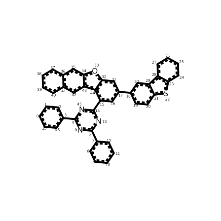 c1ccc(-c2nc(-c3ccccc3)nc(-c3cc(-c4ccc5sc6ccccc6c5c4)cc4oc5cc6ccccc6cc5c34)n2)cc1